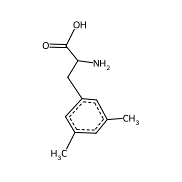 Cc1cc(C)cc(CC(N)C(=O)O)c1